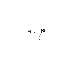 [Ni][Ir].[Pt].[Rh]